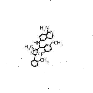 CCc1ccc(F)c(C(Nc2ccc3c(N)nccc3c2)c2nc(-c3ccccc3C)nn2C)c1